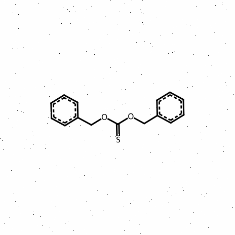 S=C(OCc1ccccc1)OCc1ccccc1